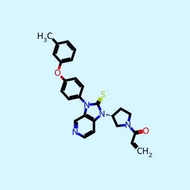 C=CC(=O)N1CC[C@@H](n2c(=S)n(-c3ccc(Oc4cccc(C)c4)cc3)c3cnccc32)C1